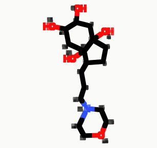 OC1CC2(O)CCC(CCCN3CCOCC3)C2(O)CC1O